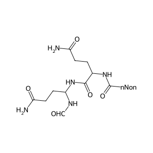 CCCCCCCCCC(=O)NC(CCC(N)=O)C(=O)NC(CCC(N)=O)NC=O